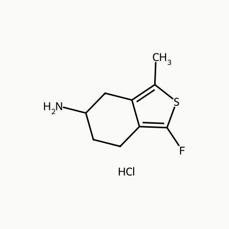 Cc1sc(F)c2c1CC(N)CC2.Cl